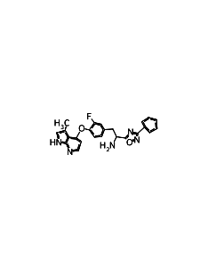 Cc1c[nH]c2nccc(Oc3ccc(CC(N)c4nc(-c5ccccc5)no4)cc3F)c12